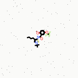 CCCCc1cn(C(C)(C)C)sc1=NC(=O)c1cc(OC(F)(F)F)ccc1OC